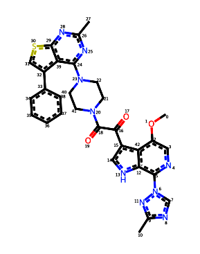 COc1cnc(-n2cnc(C)n2)c2[nH]cc(C(=O)C(=O)N3CCN(c4nc(C)nc5scc(-c6ccccc6)c45)CC3)c12